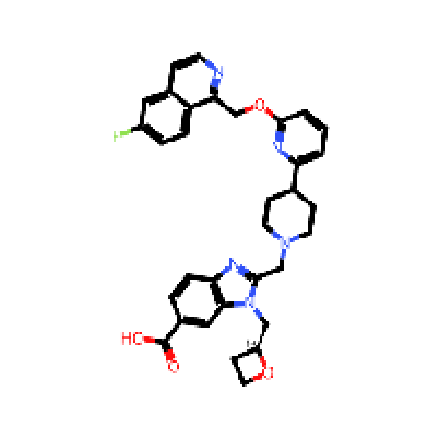 O=C(O)c1ccc2nc(CN3CCC(c4cccc(OCc5nccc6cc(F)ccc56)n4)CC3)n(C[C@@H]3CCO3)c2c1